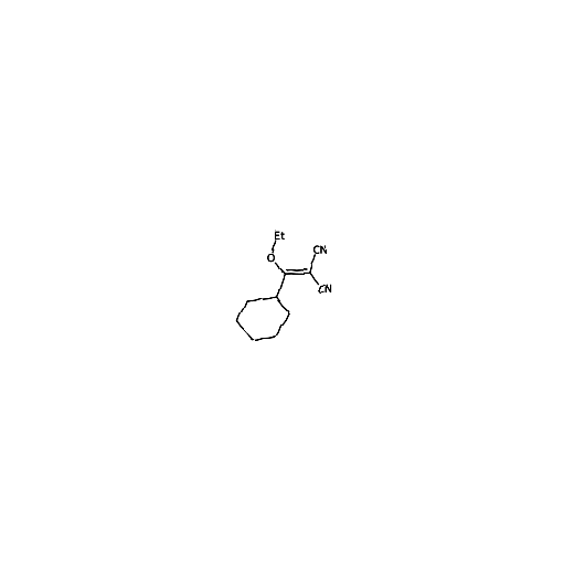 CCOC(=C(C#N)C#N)C1CCCCC1